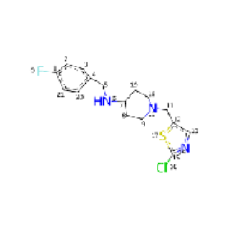 Fc1ccc(CNC2CCN(Cc3cnc(Cl)s3)CC2)cc1